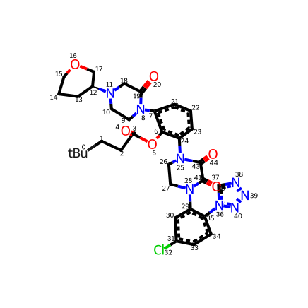 CC(C)(C)CCC(=O)Oc1c(N2CCN([C@H]3CCCOC3)CC2=O)cccc1N1CCN(c2cc(Cl)ccc2-n2cnnn2)C(=O)C1=O